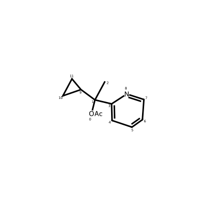 CC(=O)OC(C)(c1ccccn1)C1CC1